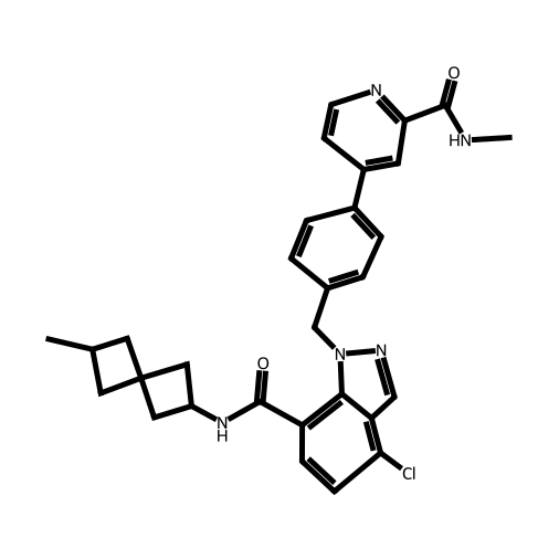 CNC(=O)c1cc(-c2ccc(Cn3ncc4c(Cl)ccc(C(=O)NC5CC6(CC(C)C6)C5)c43)cc2)ccn1